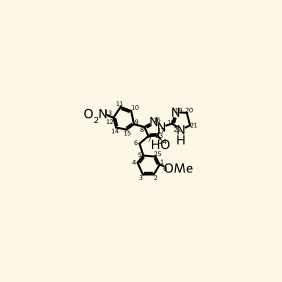 COc1cccc(Cc2c(-c3ccc([N+](=O)[O-])cc3)nn(C3=NCCN3)c2O)c1